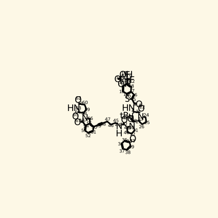 CC(C)(C)[C@H](NC(=O)c1cc2cc(C(F)(F)P(=O)(O)O)ccc2s1)C(=O)N1CCC[C@H]1C(=O)N1C[C@@H](Oc2ccccc2)C[C@H]1C(=O)NCCCC#Cc1cccc2c1CN(C1CCC(=O)NC1=O)C2=O